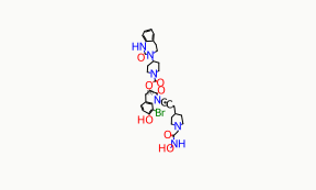 O=C(CN1CCC(C=C=C=NC(=O)[C@@H](Cc2ccc(O)c(Br)c2)OC(=O)N2CCC(N3CCc4ccccc4NC3=O)CC2)CC1)NO